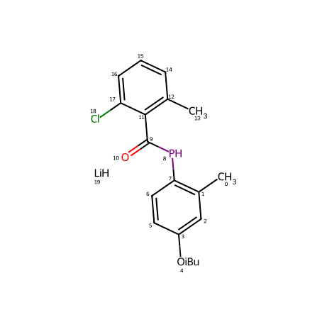 Cc1cc(OCC(C)C)ccc1PC(=O)c1c(C)cccc1Cl.[LiH]